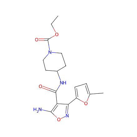 CCOC(=O)N1CCC(NC(=O)c2c(-c3ccc(C)o3)noc2N)CC1